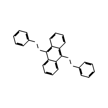 B(Oc1ccccc1)c1c2ccccc2c(BOc2ccccc2)c2ccccc12